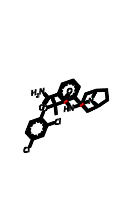 CC(C)(Oc1ccc(Cl)cc1Cl)C(=O)NC1CC2CCC(C1)N2Cc1cccc(C(N)=O)c1